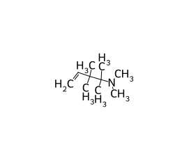 C=CC(C)(C)C(C)(C)N(C)C